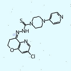 S=C(N/N=C1/CCOc2cc(Cl)cnc21)N1CCN(c2ccncc2)CC1